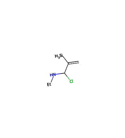 C=C([SiH3])C(Cl)NCC